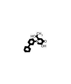 CC(O)c1cc(=O)c(O)cn1-c1cccc(-c2ccccc2)c1